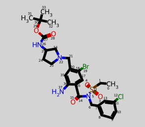 CCS(=O)(=O)N(Cc1cccc(Cl)c1)C(=O)c1cc(Br)c(CN2CCC(NC(=O)OC(C)(C)C)C2)cc1N